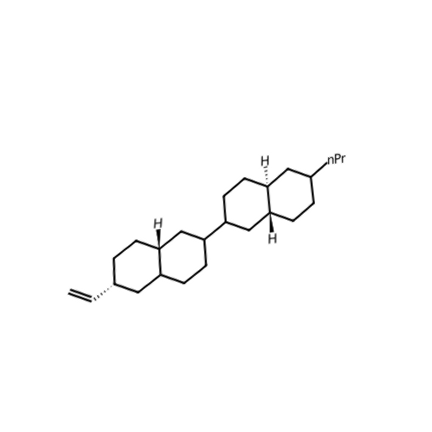 C=C[C@@H]1CC[C@@H]2CC(C3CC[C@H]4CC(CCC)CC[C@@H]4C3)CCC2C1